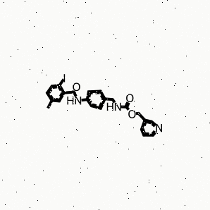 Cc1ccc(I)c(C(=O)Nc2ccc(CNC(=O)OCc3cccnc3)cc2)c1